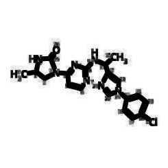 CC1CN(c2ccnc(NC(C)c3cn(-c4ccc(Cl)cc4)cn3)n2)C(=O)N1